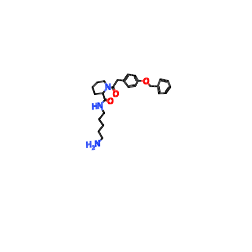 NCCCCCNC(=O)C1CCCCN1C(=O)Cc1ccc(OCc2ccccc2)cc1